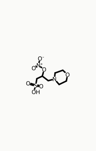 O=[N+]([O-])OC(CN1CCOCC1)CS(=O)(=O)O